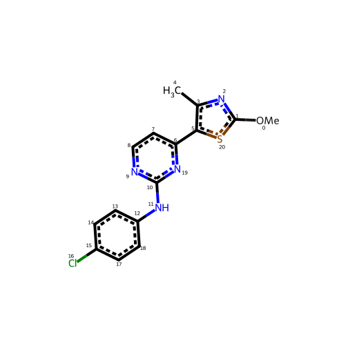 COc1nc(C)c(-c2ccnc(Nc3ccc(Cl)cc3)n2)s1